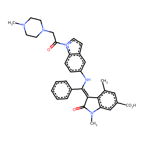 Cc1cc(C(=O)O)cc2c1C(=C(Nc1ccc3c(ccn3C(=O)CN3CCN(C)CC3)c1)c1ccccc1)C(=O)N2C